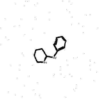 c1ccc(NC2CCCCN2)cc1